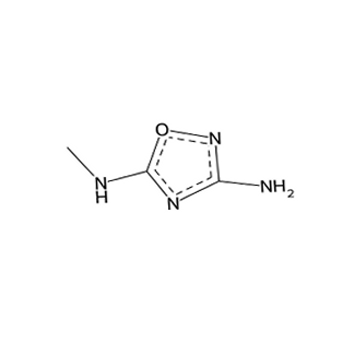 CNc1nc(N)no1